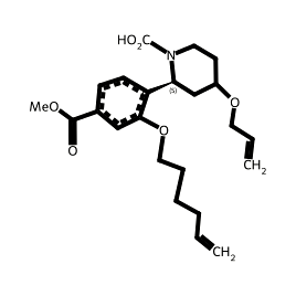 C=CCCCCOc1cc(C(=O)OC)ccc1[C@@H]1CC(OCC=C)CCN1C(=O)O